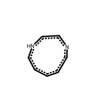 c1ccncc[nH]cc1